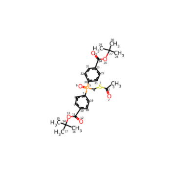 CC(=O)SCP(=O)(c1ccc(C(=O)OC(C)(C)C)cc1)c1ccc(C(=O)OC(C)(C)C)cc1